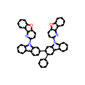 c1ccc(-c2cc3c4ccccc4n(-c4ccc5oc6ccccc6c5n4)c3cc2-c2ccc3c4ccccc4n(-c4ccc5oc6ccccc6c5n4)c3c2)cc1